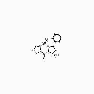 Cc1ccccc1[C@@H]1CN[C@H](C(=O)N2CCC[C@H]2C#N)C1.Cl